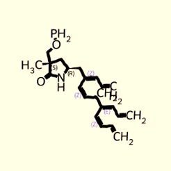 C=C/C=C\C(=C/C=C)C(=C)/C=C\C(=C/C=C)C[C@@H]1C[C@@](C)(COP)C(=O)N1